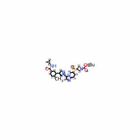 Cc1ccc(C(=O)NC2CC2)cc1-c1cnn(-c2cnc3ccc([S+]([O-])C4CN(C(=O)OC(C)(C)C)C4)cn23)c1